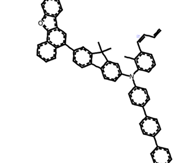 C=C/C=C\c1cccc(N(c2ccc(-c3ccc(-c4ccccc4)cc3)cc2)c2ccc3c(c2)C(C)(C)c2cc(-c4cc5c6ccccc6oc5c5ccccc45)ccc2-3)c1C